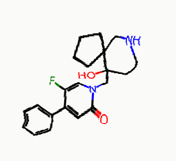 O=c1cc(-c2ccccc2)c(F)cn1CC1(O)CCNCC12CCCC2